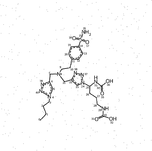 CCCCn1cc(CN(CCc2ccc(S(N)(=O)=O)cc2)Cc2cn(C(CCCNC(=O)O)NC(=O)O)nn2)nn1